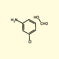 Nc1cccc(Cl)c1.O=CO